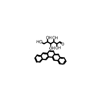 O=CC(O)C(O)C(O)C(O)CO.c1ccc2cc3c(ccc4cc5ccccc5cc43)cc2c1